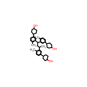 Cc1ccc(C2CCC(O)CC2)cc1C(C)CC(c1cc(C2CCC(O)CC2)ccc1C)c1cc(C2CCC(O)CC2)ccc1C